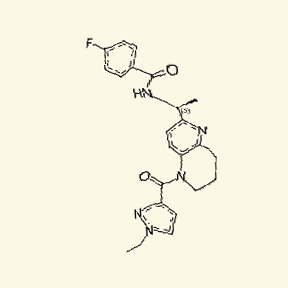 CCn1ccc(C(=O)N2CCCc3nc([C@H](C)NC(=O)c4ccc(F)cc4)ccc32)n1